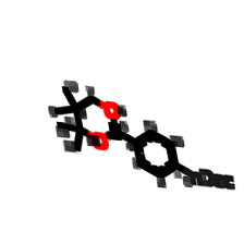 CCCCCCCCCCc1ccc(B2OCC(C)(C)C(C)(C)O2)cc1